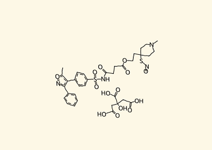 Cc1onc(-c2ccccc2)c1-c1ccc(S(=O)(=O)NC(=O)CCC(=O)OCCC2(SN=O)CCN(C)CC2)cc1.O=C(O)CC(O)(CC(=O)O)C(=O)O